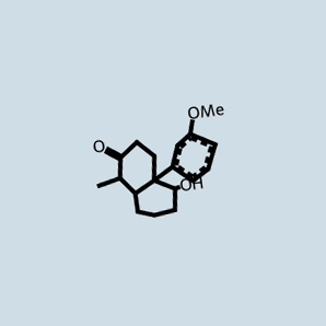 COc1cccc(C23CCC(=O)C(C)C2CCCC3O)c1